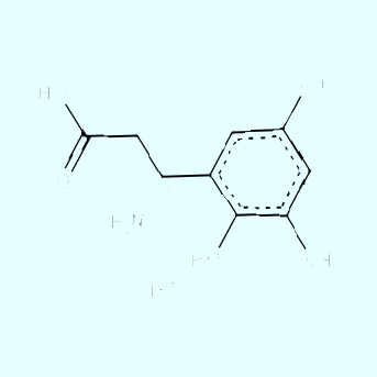 Cc1cc(C)c(O)c([C@H](N)CC(=O)O)c1.Cl